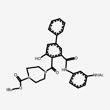 CC(=O)Nc1cccc(NC(=O)c2cc(-c3ccccc3)cc(O)c2C(=O)N2CCN(C(=O)OC(C)(C)C)CC2)c1